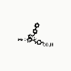 COc1ncc(C(=O)NC2CCC(CC(=O)O)CC2)c2c1ccn2Cc1ccc(-c2ccccc2)cc1